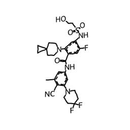 Cc1cc(NC(=O)c2cc(F)c(NS(=O)(=O)CCO)cc2N2CCC3(CC2)CC3)cc(N2CCC(F)(F)CC2)c1C#N